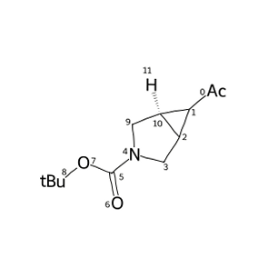 CC(=O)C1C2CN(C(=O)OC(C)(C)C)C[C@H]21